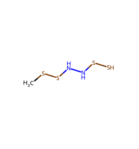 CSSNNSS